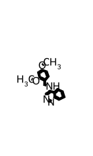 COc1ccc(CNc2cnnc3ccccc23)c(OC)c1